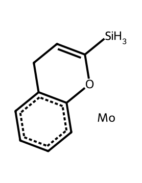 [Mo].[SiH3]C1=CCc2ccccc2O1